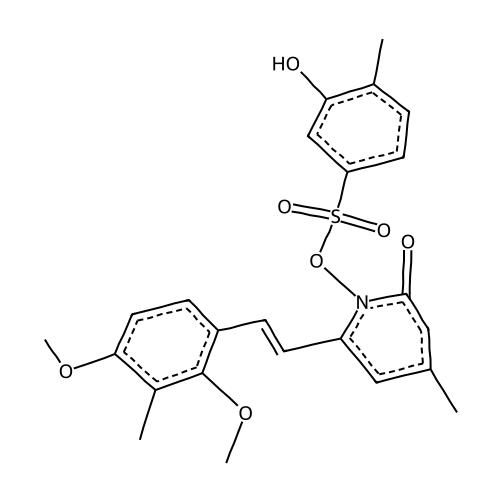 COc1ccc(C=Cc2cc(C)cc(=O)n2OS(=O)(=O)c2ccc(C)c(O)c2)c(OC)c1C